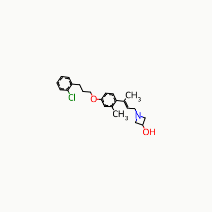 CC(=CCN1CC(O)C1)c1ccc(OCCCc2ccccc2Cl)cc1C